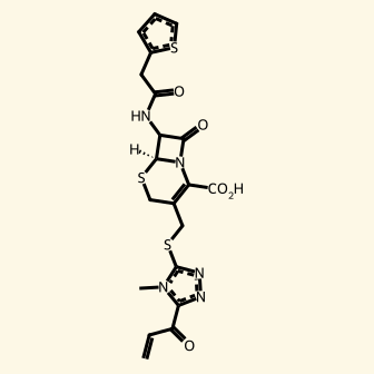 C=CC(=O)c1nnc(SCC2=C(C(=O)O)N3C(=O)C(NC(=O)Cc4cccs4)[C@@H]3SC2)n1C